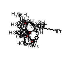 CN[C@H]1C(=O)N[C@@H]2Cc3ccc(cc3)Oc3cc4cc(c3O[C@@H]3OC(C(=O)O)[C@@H](O)C(O)C3NC(=O)CCCCCCCCC(C)C)Oc3ccc(cc3Cl)[C@@H](O)[C@@H]3NC(=O)C(NC(=O)[C@@H]4NC(=O)[C@@H](NC2=O)c2cc(cc(O)c2Cl)Oc2cc1ccc2O)C1=CC=I2(C4OC(CO)[C@@H](O)C(O)C4O)C(=C1)c1c(cc(O)cc12)[C@@H](C(=O)NCCCN(C)C)NC3=O